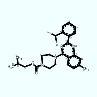 Cc1ccc2c(N3CCN(C(=O)OCC(C)C)CC3)nc(-c3ccccc3C(F)F)nc2c1